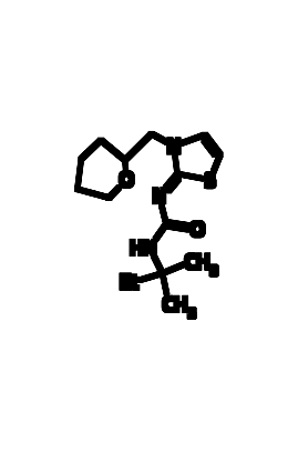 CCC(C)(C)NC(=O)N=c1sccn1CC1CCCCO1